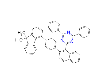 CC1(C)c2ccccc2-c2c(C3C=CC(c4ccc5ccccc5c4-c4nc(-c5ccccc5)nc(-c5ccccc5)n4)=CC3)cccc21